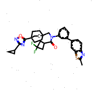 Cc1nc2ccc(-c3cccc(N(CC45CCC(c6nc(C7CC7)no6)(CC4)CC5)C(=O)C4CC(F)(F)C4)c3)cc2s1